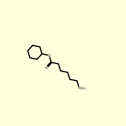 CCCCCCCCCCCCCC(=O)OC1CCCCC1